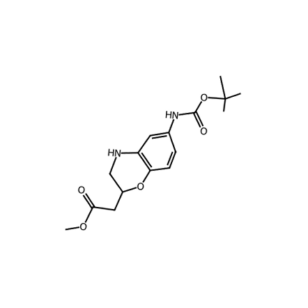 COC(=O)CC1CNc2cc(NC(=O)OC(C)(C)C)ccc2O1